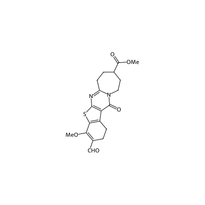 COC(=O)C1CCc2nc3sc4c(c3c(=O)n2CC1)CCC(C=O)=C4OC